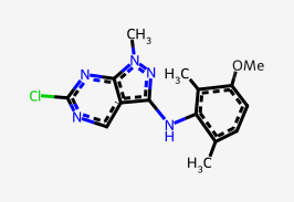 COc1ccc(C)c(Nc2nn(C)c3nc(Cl)ncc23)c1C